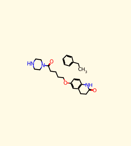 CCc1ccccc1.O=C1CCc2cc(OCCCCC(=O)N3CCNCC3)ccc2N1